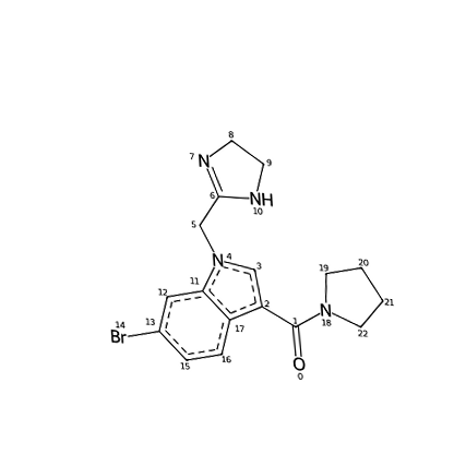 O=C(c1cn(CC2=NCCN2)c2cc(Br)ccc12)N1CCCC1